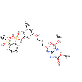 Cc1cc(OCCCON=C(NC(=O)OC(C)(C)C)NC(=O)OC(C)(C)C)cc(OS(=O)(=O)c2ccccc2S(C)(=O)=O)c1